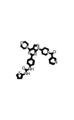 O=C(Nc1ccc(-c2nc(N3CCOCC3)c3cnn(C4CCN(C(=O)c5cccnc5)CC4)c3n2)cc1)Nc1cccs1